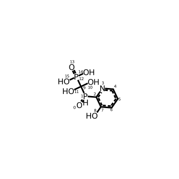 O=[PH](c1ncccc1O)C(O)(O)P(=O)(O)O